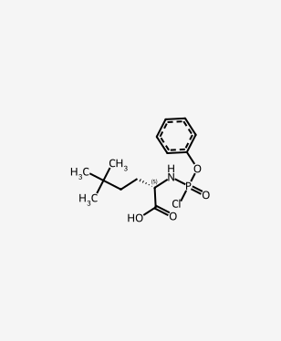 CC(C)(C)CC[C@H](NP(=O)(Cl)Oc1ccccc1)C(=O)O